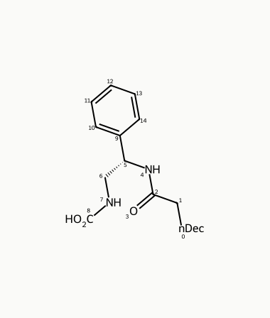 CCCCCCCCCCCC(=O)N[C@H](CNC(=O)O)c1ccccc1